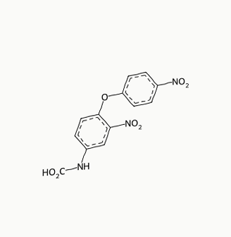 O=C(O)Nc1ccc(Oc2ccc([N+](=O)[O-])cc2)c([N+](=O)[O-])c1